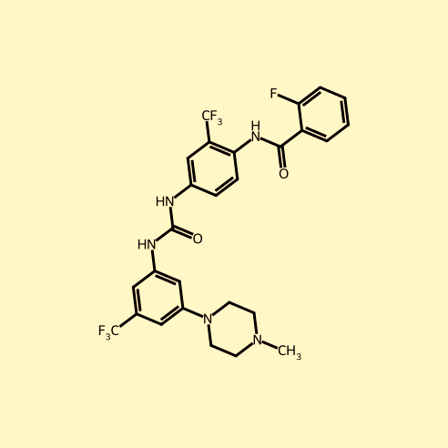 CN1CCN(c2cc(NC(=O)Nc3ccc(NC(=O)c4ccccc4F)c(C(F)(F)F)c3)cc(C(F)(F)F)c2)CC1